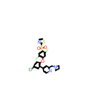 O=S(=O)(c1nccs1)c1cc(F)c(Oc2ccc(Cl)cc2-c2ccnc(CN3CCC3)c2)cc1F